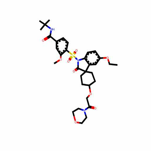 CCOc1ccc2c(c1)C1(CCC(OCC(=O)N3CCOCC3)CC1)C(=O)N2S(=O)(=O)c1ccc(C(=O)NC(C)(C)C)cc1OC